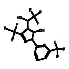 OC1C(C(O)C(F)(F)F)C(C(F)(F)F)=NN1c1cccc(C(F)(F)F)n1